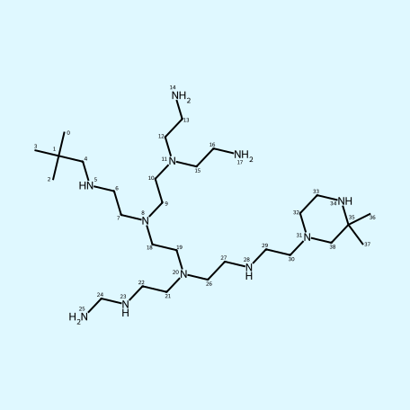 CC(C)(C)CNCCN(CCN(CCN)CCN)CCN(CCNCN)CCNCCN1CCNC(C)(C)C1